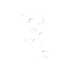 NC(CCC(=O)O)C(=O)NC1CCCC1C(=O)O